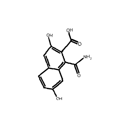 NC(=O)c1c(C(=O)O)c(O)cc2ccc(O)cc12